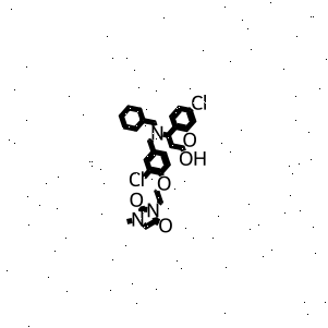 CN1CC(=O)N(CCOc2ccc(CN(CC3CCCCC3)C(CC(=O)O)c3ccc(Cl)cc3)cc2Cl)C1=O